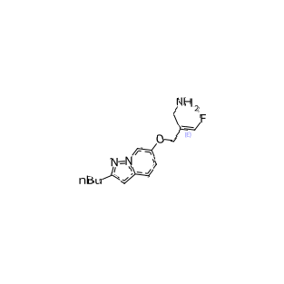 CCCCc1cc2ccc(OC/C(=C/F)CN)cn2n1